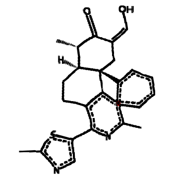 Cc1nc(-c2cnc(C)s2)c2c(n1)[C@@]1(c3ccccc3)CC(=CO)C(=O)[C@@H](C)[C@@H]1CC2